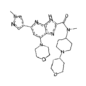 CN(C(=O)c1nc2c(N3CCOCC3)cc(-c3cnn(C)c3)nc2[nH]1)C1CCN(C2CCOCC2)CC1